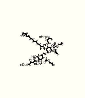 C=CCOC(=O)O[C@H]1[C@H](OCCCCCCCCCC)[C@@H](NC(=O)CC(=O)CCCCCCCCCCC)C(O)O[C@@H]1CO[C@@H]1O[C@H](CC)[C@@H](OP(=O)(OCC=C)OCC=C)[C@H](OCC[C@H](C)CCCCCCC)[C@H]1NC(=O)CCCCCCCCC/C=C\CCCCCC